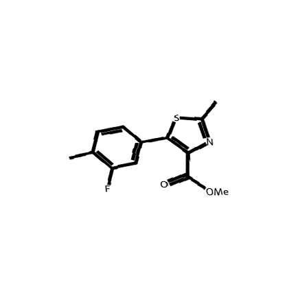 COC(=O)c1nc(C)sc1-c1ccc(C)c(F)c1